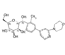 Cc1cc(-c2ccnc(N3CCOCC3)c2)ccc1[C@@H](O)[C@H]1O[C@H](CO)[C@@H](O)[C@H](O)[C@@H]1O